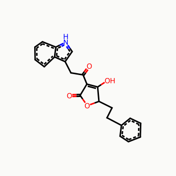 O=C(Cc1c[nH]c2ccccc12)C1=C(O)C(CCc2ccccc2)OC1=O